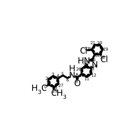 Cc1ccc(CCNC(=O)c2ccc3nc(-c4c(Cl)cccc4Cl)[nH]c3c2)cc1C